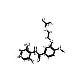 COc1ccc(C(=O)Nc2c(Cl)cncc2Cl)cc1OCCOC(C)C